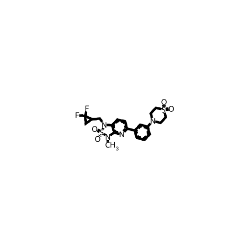 CN1c2nc(-c3cccc(N4CCS(=O)(=O)CC4)c3)ccc2N(CC2CC2(F)F)S1(=O)=O